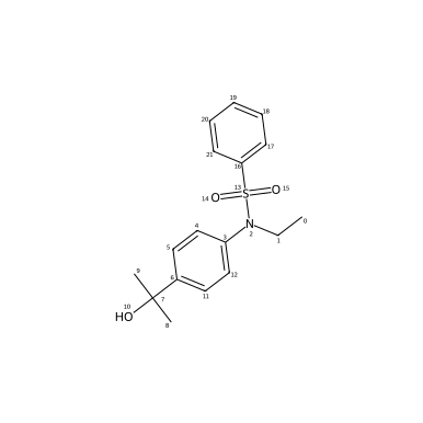 CCN(c1ccc(C(C)(C)O)cc1)S(=O)(=O)c1ccccc1